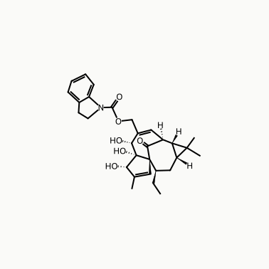 CC[C@@H]1C[C@@H]2[C@H]([C@@H]3C=C(COC(=O)N4CCc5ccccc54)[C@@H](O)[C@]4(O)[C@@H](O)C(C)=C[C@@]14C3=O)C2(C)C